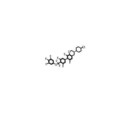 CCC1CCC([C@@H]2COc3c(cc(F)c(-c4cc(F)c(C(F)(F)Oc5cc(F)c(F)c(F)c5)c(F)c4)c3F)C2)CC1